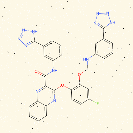 O=C(Nc1cccc(-c2nnn[nH]2)c1)c1nc2ccccc2nc1Oc1ccc(F)cc1OCNc1cccc(-c2nnn[nH]2)c1